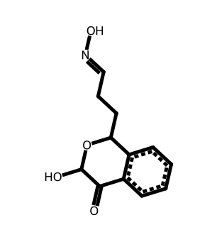 O=C1c2ccccc2C(CCC=NO)OC1O